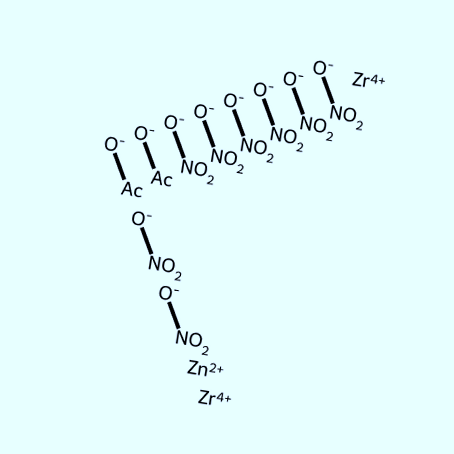 CC(=O)[O-].CC(=O)[O-].O=[N+]([O-])[O-].O=[N+]([O-])[O-].O=[N+]([O-])[O-].O=[N+]([O-])[O-].O=[N+]([O-])[O-].O=[N+]([O-])[O-].O=[N+]([O-])[O-].O=[N+]([O-])[O-].[Zn+2].[Zr+4].[Zr+4]